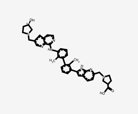 Cc1c(Nc2nccc3cc(CN4CC[C@@H](O)C4)cnc23)cccc1-c1cccc(-c2cc3ccc(CN4CCC(C(=O)O)C4)nc3[nH]2)c1C